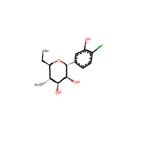 CC(=O)OC[C@H]1O[C@H](c2ccc(F)c(O)c2)[C@@H](O)[C@@H](O)[C@@H]1OC(C)=O